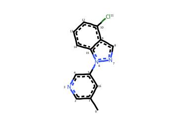 Cc1cncc(-n2ncc3c(Cl)cccc32)c1